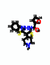 CN1CCc2c(sc(NC(=O)c3ccco3)c2-c2nc3ccccc3s2)C1